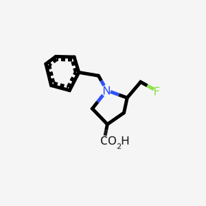 O=C(O)C1CC(CF)N(Cc2ccccc2)C1